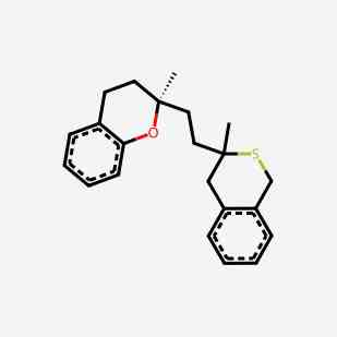 CC1(CC[C@]2(C)CCc3ccccc3O2)Cc2ccccc2CS1